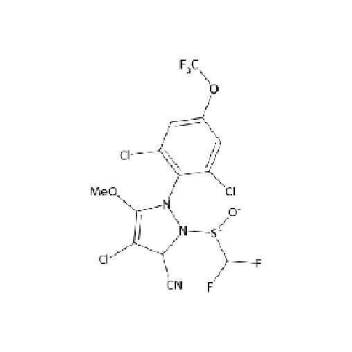 COC1=C(Cl)C(C#N)N([S+]([O-])C(F)F)N1c1c(Cl)cc(OC(F)(F)F)cc1Cl